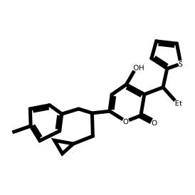 CCC(c1cccs1)c1c(O)cc(C(Cc2ccc(C)cc2)CC2CC2)oc1=O